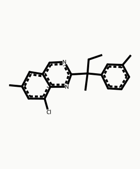 CCC(C)(c1cccc(C)c1)c1ncc2cc(C)cc(Cl)c2n1